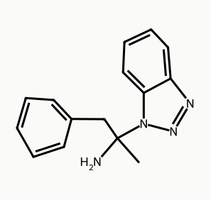 CC(N)(Cc1ccccc1)n1nnc2ccccc21